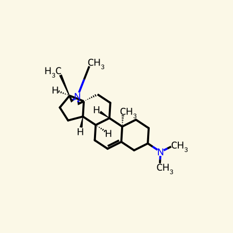 C[C@H]1[C@H]2CC[C@H]3[C@@H]4CC=C5CC(N(C)C)CC[C@]5(C)[C@H]4CC[C@]23CN1C